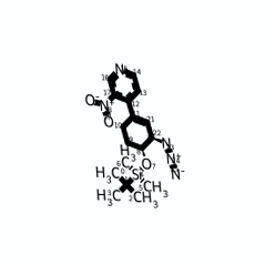 CC(C)(C)[Si](C)(C)O[C@@H]1CCC(c2ccncc2[N+](=O)[O-])=C[C@H]1N=[N+]=[N-]